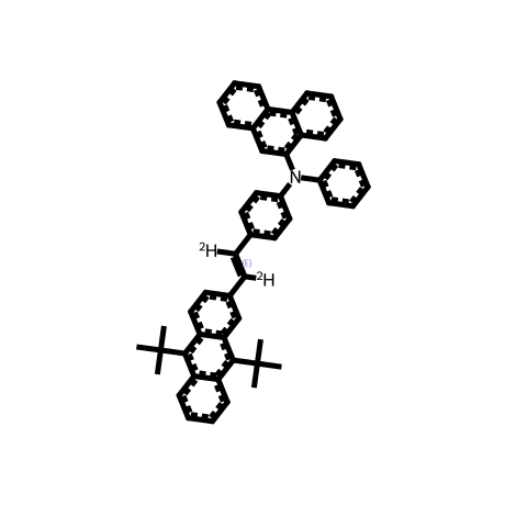 [2H]/C(=C(/[2H])c1ccc2c(C(C)(C)C)c3ccccc3c(C(C)(C)C)c2c1)c1ccc(N(c2ccccc2)c2cc3ccccc3c3ccccc23)cc1